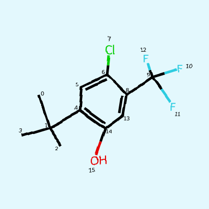 CC(C)(C)c1cc(Cl)c(C(F)(F)F)cc1O